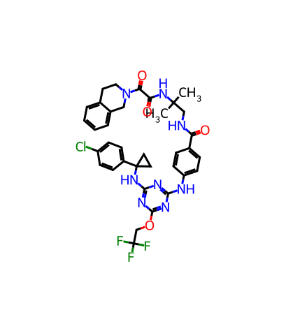 CC(C)(CNC(=O)c1ccc(Nc2nc(NC3(c4ccc(Cl)cc4)CC3)nc(OCC(F)(F)F)n2)cc1)NC(=O)C(=O)N1CCc2ccccc2C1